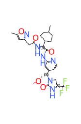 COC[C@H](c1ccnc(NC(=O)[C@@H](NC(=O)Cc2cc(C)on2)C2CCC(C)CC2)c1)N1C[C@@H](C(F)(F)F)NC1=O